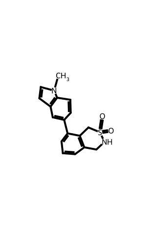 Cn1ccc2cc(-c3cccc4c3CS(=O)(=O)NC4)ccc21